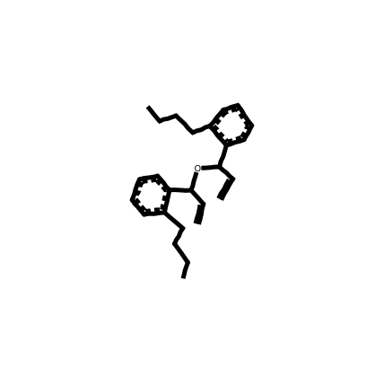 C=CC(OC(C=C)c1ccccc1CCCC)c1ccccc1CCCC